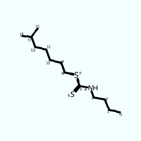 CCCCNC(=S)SCCCCCC(C)C